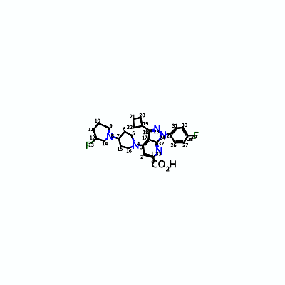 O=C(O)c1cc(N2CCC(N3CCCC(F)C3)CC2)c2c(C3CCC3)nn(-c3ccc(F)cc3)c2n1